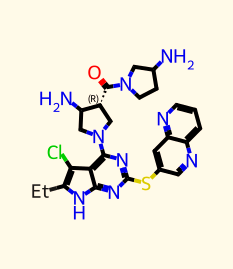 CCc1[nH]c2nc(Sc3cnc4cccnc4c3)nc(N3CC(N)[C@H](C(=O)N4CCC(N)C4)C3)c2c1Cl